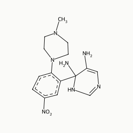 CN1CCN(c2ccc([N+](=O)[O-])cc2C2(N)NC=NC=C2N)CC1